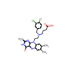 C=c1nc2c(c(=O)[nH]1)=Nc1cc(C)c(C)cc1N2CCN(CCCC(=O)O)Cc1ccc(Cl)c(Cl)c1